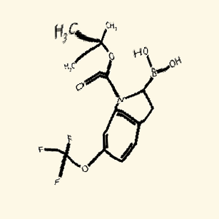 CC(C)(C)OC(=O)N1c2cc(OC(F)(F)F)ccc2CC1B(O)O